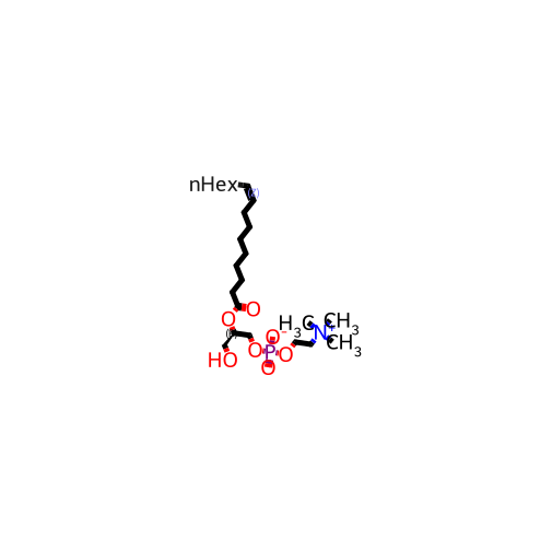 CCCCCC/C=C\CCCCCCCC(=O)O[C@H](CO)COP(=O)([O-])OCC[N+](C)(C)C